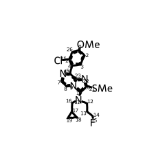 COc1ccc(-c2nccn3c(N(CCCF)CC4CC4)c(SC)nc23)c(Cl)c1